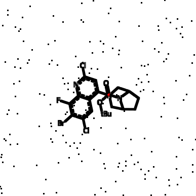 CC(C)(C)OC(=O)N1C2CCC1CN(c1cc(Cl)nc3c(F)c(Br)c(Cl)cc13)C2